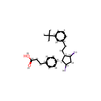 CC(C)(C)c1cccc(CC[C@H]2C(I)CC(I)[C@@H]2c2ccc(CCC(=O)O)cc2)c1